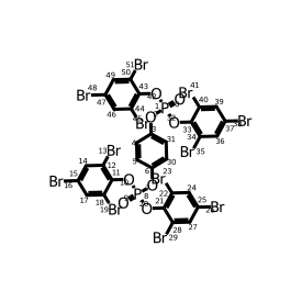 O=P(Oc1ccc(OP(=O)(Oc2c(Br)cc(Br)cc2Br)Oc2c(Br)cc(Br)cc2Br)cc1)(Oc1c(Br)cc(Br)cc1Br)Oc1c(Br)cc(Br)cc1Br